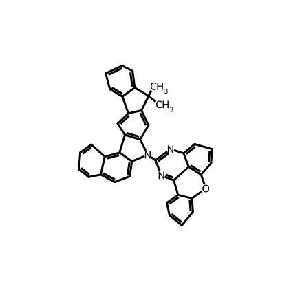 CC1(C)c2ccccc2-c2cc3c4c5ccccc5ccc4n(-c4nc5c6c(cccc6n4)Oc4ccccc4-5)c3cc21